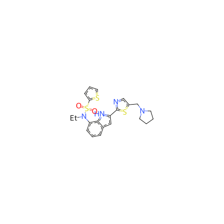 CCN(c1cccc2cc(-c3ncc(CN4CCCC4)s3)[nH]c12)S(=O)(=O)c1cccs1